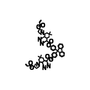 C=CC(=O)OC1CCN(C2=C(C#N)/C(=C(\C#N)C(=O)Oc3ccc(C4(c5ccc(OC(=O)/C(C#N)=C6\CC(C)(C)CC(N7CCC(OC(=O)C=C)C7)=C6C#N)cc5)c5ccccc5-c5ccccc54)cc3)CC(C)(C)C2)C1